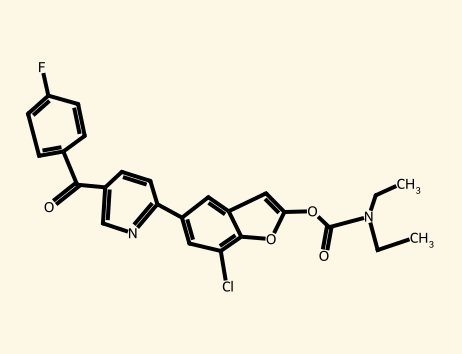 CCN(CC)C(=O)Oc1cc2cc(-c3ccc(C(=O)c4ccc(F)cc4)cn3)cc(Cl)c2o1